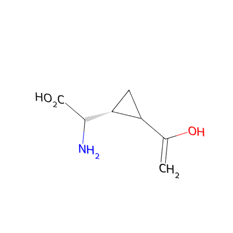 C=C(O)C1C[C@H]1C(N)C(=O)O